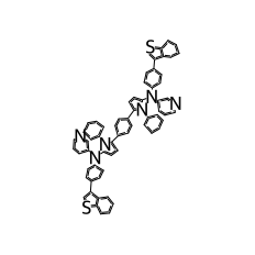 c1ccc(-n2c(-c3ccc(-c4ccc(N(c5ccc(-c6csc7ccccc67)cc5)c5cccnc5)n4-c4ccccc4)cc3)ccc2N(c2ccc(-c3csc4ccccc34)cc2)c2cccnc2)cc1